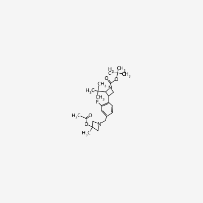 CC(=O)OC1(C)CN(Cc2ccc(C3CN(C(=O)OC(C)(C)C)C3C(C)(C)C)c(F)c2)C1